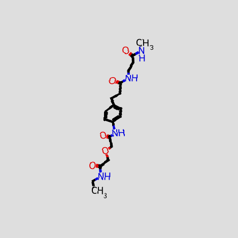 CCNC(=O)COCC(=O)Nc1ccc(CCC(=O)NCCC(=O)NC)cc1